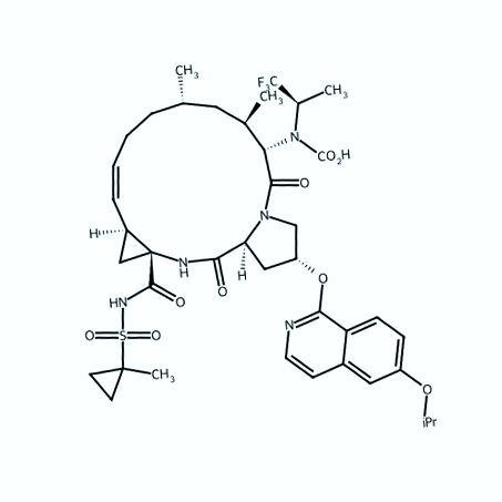 CC(C)Oc1ccc2c(O[C@@H]3C[C@H]4C(=O)N[C@]5(C(=O)NS(=O)(=O)C6(C)CC6)C[C@H]5/C=C\CC[C@H](C)C[C@@H](C)[C@H](N(C(=O)O)[C@H](C)C(F)(F)F)C(=O)N4C3)nccc2c1